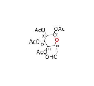 CC(=O)O[C@H]1O[C@H](CC=O)[C@@H](OC(C)=O)[C@H](OC(C)=O)[C@@H]1OC(C)=O